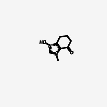 Cn1c[n+](O)c2c1C(=O)CCC2